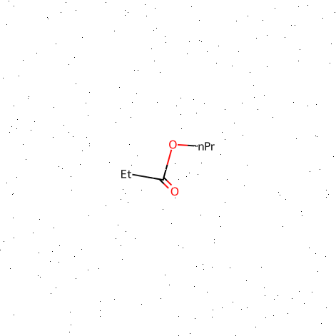 [CH2]CC(=O)OCCC